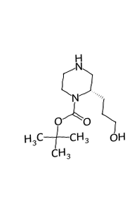 CC(C)(C)OC(=O)N1CCNC[C@@H]1CCCO